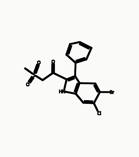 CS(=O)(=O)CC(=O)c1[nH]c2cc(Cl)c(Br)cc2c1-c1ccccc1